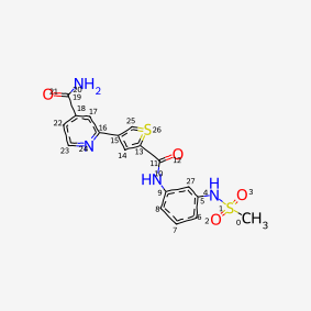 CS(=O)(=O)Nc1cccc(NC(=O)c2cc(-c3cc(C(N)=O)ccn3)cs2)c1